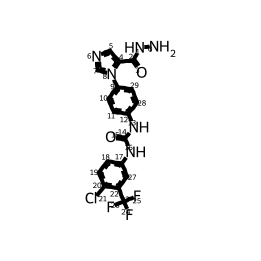 NNC(=O)c1cncn1-c1ccc(NC(=O)Nc2ccc(Cl)c(C(F)(F)F)c2)cc1